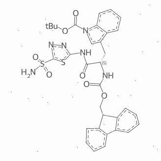 CC(C)(C)OC(=O)n1cc(C[C@H](NC(=O)OCC2c3ccccc3-c3ccccc32)C(=O)Nc2nnc(S(N)(=O)=O)s2)c2ccccc21